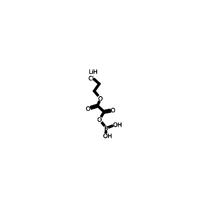 O=C(OCCCl)C(=O)OB(O)O.[LiH]